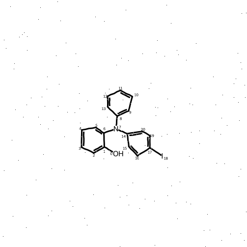 Oc1ccccc1N(c1ccccc1)c1ccc(I)cc1